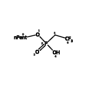 CCCCCOP(=O)(O)CC(F)(F)F